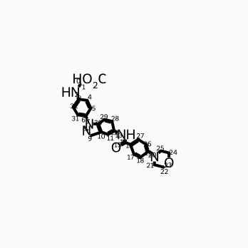 O=C(O)CNc1ccc(-n2ncc3cc(NC(=O)c4ccc(N5CCOCC5)cc4)ccc32)cc1